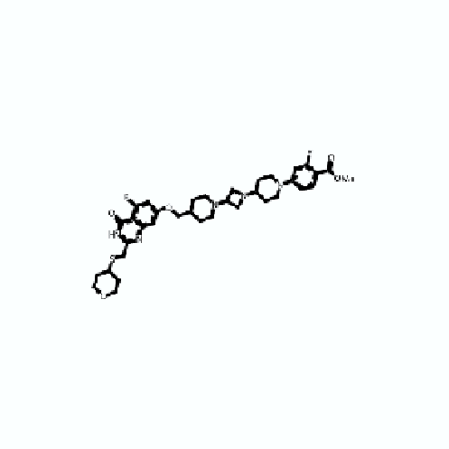 COC(=O)c1ccc(N2CCC(N3CC(N4CCC(COc5cc(F)c6c(=O)[nH]c(CSC7CCOCC7)nc6c5)CC4)C3)CC2)cc1F